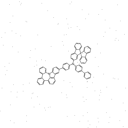 c1ccc(-c2ccc(N(c3ccc(-c4ccc5c(c4)c4cccc6c4n5-c4ccccc4-c4ccccc4-6)cc3)c3ccc4c(c3)C3(c5ccccc5-c5ccccc53)c3ccccc3-4)cc2)cc1